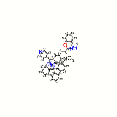 CC(NC(=O)C=Cc1cc2c(-c3ccncc3)nn(C(c3ccccc3)(c3ccccc3)c3ccccc3)c2cc1[N+](=O)[O-])c1ccccc1